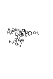 Cc1ccc(S(=O)(=O)NCC(CO)[C@@]2(O[SiH](C)C)C[C@H](C(C)(C)C)CN2C(=O)OC(C)(C)C)cc1